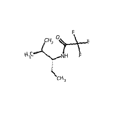 CC[C@@H](NC(=O)C(F)(F)F)C(C)C